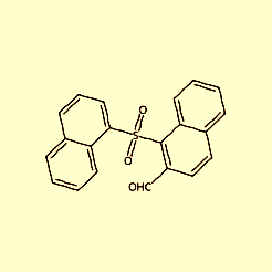 O=Cc1ccc2ccccc2c1S(=O)(=O)c1cccc2ccccc12